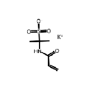 C=CC(=O)NC(C)(C)S(=O)(=O)[O-].[K+]